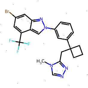 Cn1cnnc1CC1(c2cccc(-n3cc4c(C(F)(F)F)cc(Br)cc4n3)c2)CCC1